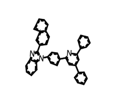 c1ccc(-c2cc(-c3ccccc3)nc(-c3ccc(-n4c(-c5ccc6ccccc6c5)nc5ccccc54)cc3)c2)cc1